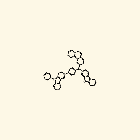 c1ccc(-n2c3ccccc3c3cc(-c4ccc(N(c5ccc6c(c5)oc5ccccc56)c5ccc6ccc7ccccc7c6c5)cc4)ccc32)cc1